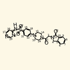 O=C(CN1Cc2ccccc2C1=O)N1CCN(c2ccc(S(=O)(=O)Nc3ccncn3)cc2)CC1